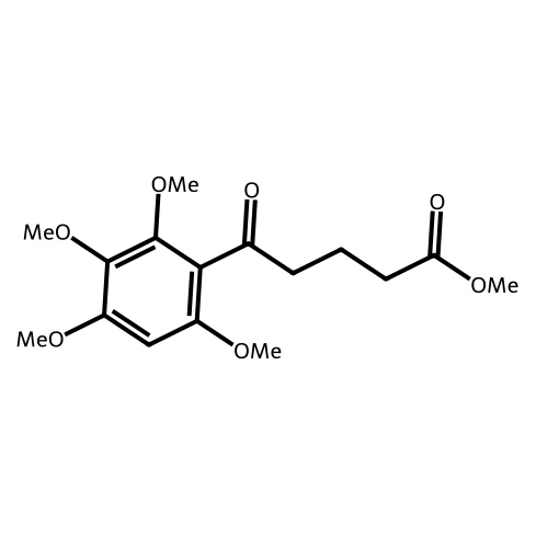 COC(=O)CCCC(=O)c1c(OC)cc(OC)c(OC)c1OC